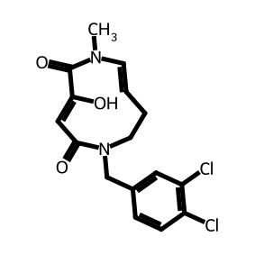 CN1/C=C/CCN(Cc2ccc(Cl)c(Cl)c2)C(=O)/C=C(\O)C1=O